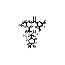 CC(C)(NC(=O)c1nc(Nc2cc(F)cc(F)c2)cc2c1OCO2)C1CCS(=O)(=O)CC1